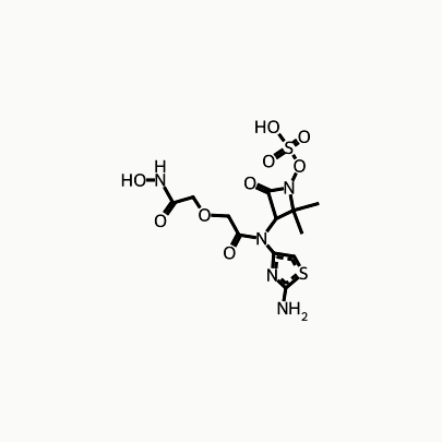 CC1(C)C(N(C(=O)COCC(=O)NO)c2csc(N)n2)C(=O)N1OS(=O)(=O)O